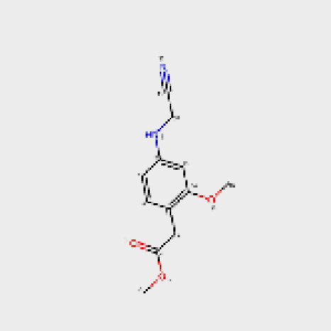 COC(=O)Cc1ccc(NCC#N)cc1OC